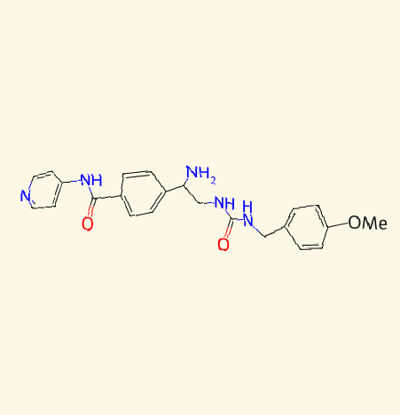 COc1ccc(CNC(=O)NCC(N)c2ccc(C(=O)Nc3ccncc3)cc2)cc1